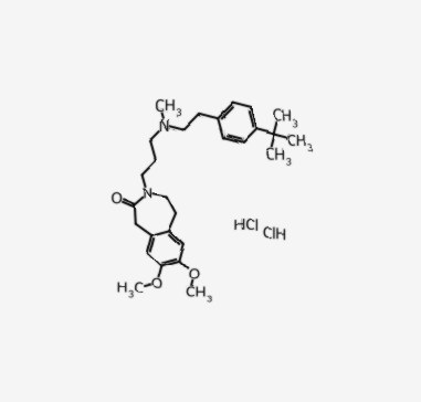 COc1cc2c(cc1OC)CC(=O)N(CCCN(C)CCc1ccc(C(C)(C)C)cc1)CC2.Cl.Cl